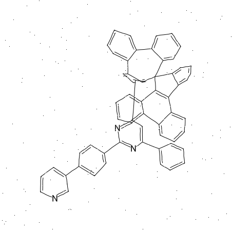 c1ccc(-c2cc(-c3ccc4c(c3)C3(c5ccccc5-c5ccccc5-4)c4ccccc4-c4c3c3ccccc3c3ccccc43)nc(-c3ccc(-c4cccnc4)cc3)n2)cc1